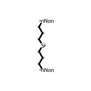 CCCCCCCCCCCC[Si]CCCCCCCCCCCC